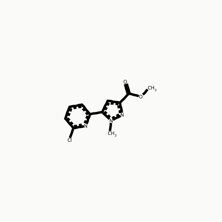 COC(=O)c1cc(-c2cccc(Cl)n2)n(C)n1